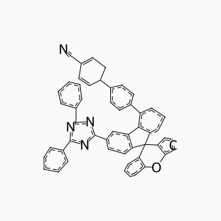 N#CC1=CCC(c2ccc(-c3cccc4c3-c3cc(-c5nc(-c6ccccc6)nc(-c6ccccc6)n5)ccc3C43c4ccccc4Oc4ccccc43)cc2)C=C1